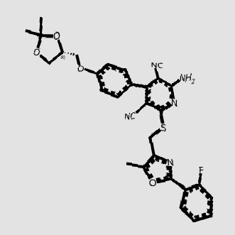 [C-]#[N+]c1c(N)nc(SCc2nc(-c3ccccc3F)oc2C)c(C#N)c1-c1ccc(OC[C@@H]2COC(C)(C)O2)cc1